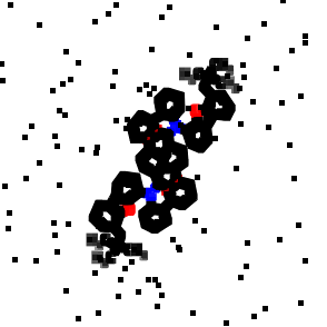 CC(C)(C)Cc1cccc2c1oc1c(N(c3ccccc3-c3ccccc3)c3ccc4ccc5c(N(c6ccccc6-c6ccccc6)c6cccc7c6oc6c(CC(C)(C)C)cccc67)ccc6ccc3c4c65)cccc12